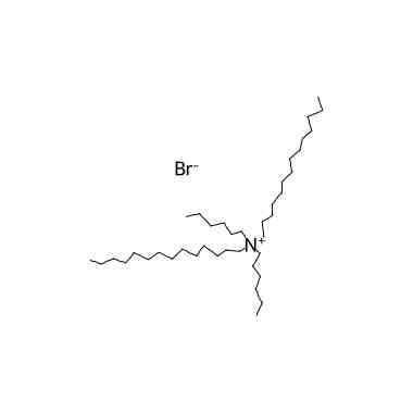 CCCCCCCCCCCCCC[N+](CCCCCC)(CCCCCC)CCCCCCCCCCCCCC.[Br-]